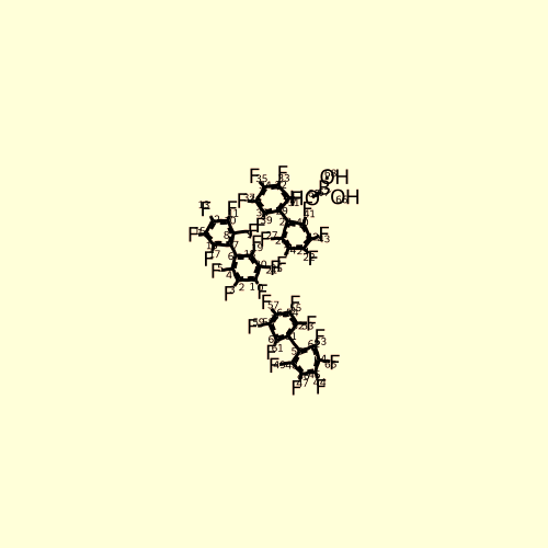 Fc1c(F)c(F)c(-c2c(F)c(F)c(F)c(F)c2F)c(F)c1F.Fc1c(F)c(F)c(-c2c(F)c(F)c(F)c(F)c2F)c(F)c1F.Fc1c(F)c(F)c(-c2c(F)c(F)c(F)c(F)c2F)c(F)c1F.OB(O)O